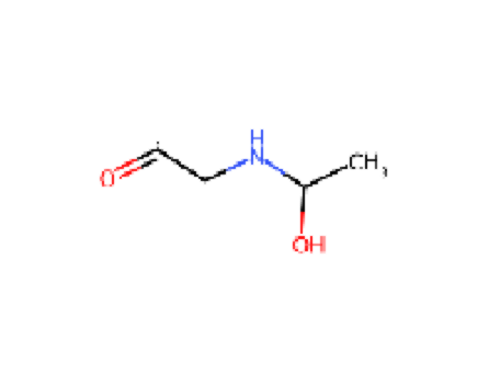 CC(O)NC[C]=O